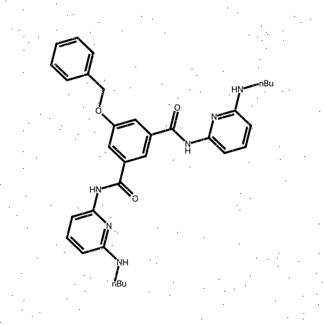 CCCCNc1cccc(NC(=O)c2cc(OCc3ccccc3)cc(C(=O)Nc3cccc(NCCCC)n3)c2)n1